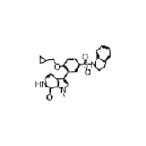 Cn1cc(-c2cc(S(=O)(=O)N3CCc4ccccc43)ccc2OCC2CC2)c2cc[nH]c(=O)c21